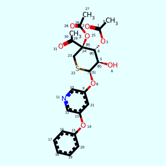 CC(=O)O[C@@H]1[C@@H](O)[C@@H](Oc2cncc(Oc3ccccc3)c2)SC[C@]1(OC(C)=O)C(C)=O